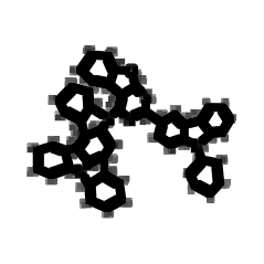 c1ccc(-n2c3ccccc3c3cc(-c4nc(-n5c6ccccc6c6c7c8ccccc8n8c9ccccc9c(cc65)c78)c5c(n4)oc4ccccc45)ccc32)cc1